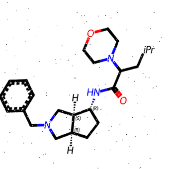 CC(C)CC(C(=O)N[C@@H]1CC[C@H]2CN(Cc3ccccc3)C[C@H]21)N1CCOCC1